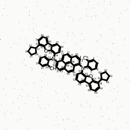 Cc1ccccc1N(c1ccc2ccc3c(N(c4ccccc4C)c4cccc5c4oc4c(C6CCCC6)cccc45)ccc4ccc1c2c43)c1cccc2c1oc1c(C3CCCC3)cccc12